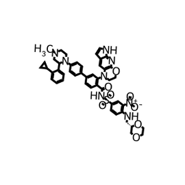 CN1CCN(c2ccc(-c3ccc(C(=O)NS(=O)(=O)c4ccc(NC[C@H]5COCCO5)c([N+](=O)[O-])c4)c(N4CCOc5nc6[nH]ccc6cc54)c3)cc2)C(c2ccccc2C2CC2)C1